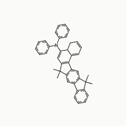 CC1(C)C2=C(C3=CC=CCC3C(N(c3ccccc3)c3ccccc3)=C2)c2cc3c(cc21)-c1ccccc1C3(C)C